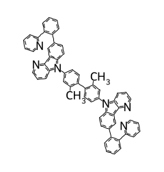 Cc1cc(-n2c3ccc(-c4ccccc4-c4ccccn4)cc3c3ncccc32)ccc1-c1ccc(-n2c3ccc(-c4ccccc4-c4ccccn4)cc3c3ncccc32)cc1C